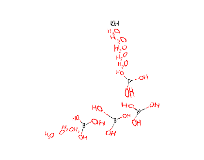 O.O.O.O.O.O.O.O.OB(O)O.OB(O)O.OB(O)O.OB(O)O.[KH]